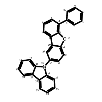 c1ccc(-c2cccc3c2oc2ccc(-n4c5ccccc5c5ccccc54)cc23)cc1